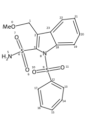 COCc1c(S(N)(=O)=O)n(S(=O)(=O)c2ccccc2)c2ccccc12